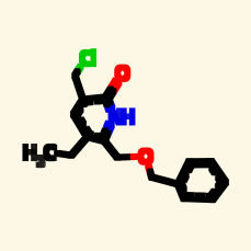 CCc1cc(CCl)c(=O)[nH]c1COCc1ccccc1